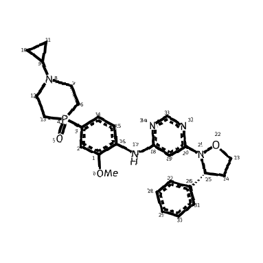 COc1cc(P2(=O)CCN(C3CC3)CC2)ccc1Nc1cc(N2OCC[C@@H]2c2ccccc2)ncn1